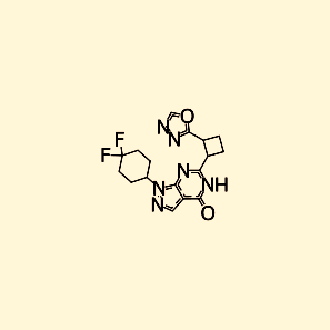 O=c1[nH]c(C2CCC2c2nnco2)nc2c1cnn2C1CCC(F)(F)CC1